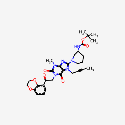 CC#CCn1c(N2CCC[C@H](NC(=O)OC(C)(C)C)C2)nc2c1c(=O)n(CC(=O)c1cccc3c1OCCO3)c(=O)n2C